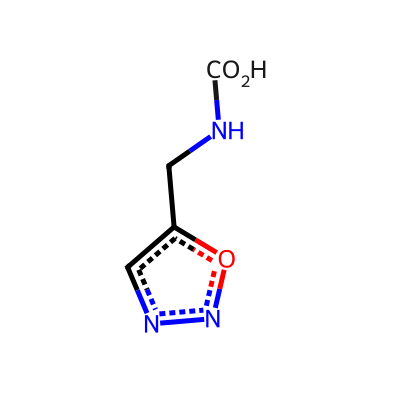 O=C(O)NCc1cnno1